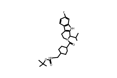 CC(C)C1c2[nH]c3cc(F)ccc3c2CCN1C(=O)C1CCC(CNC(=O)OC(C)(C)C)CC1